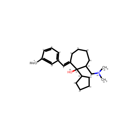 COc1cccc(/C=C2\CCCCC(CN(C)C)C2(O)C2CCCC2)c1